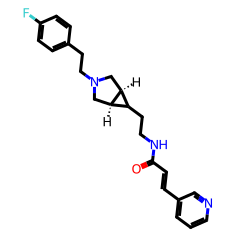 O=C(/C=C/c1cccnc1)NCCC1[C@H]2CN(CCc3ccc(F)cc3)C[C@@H]12